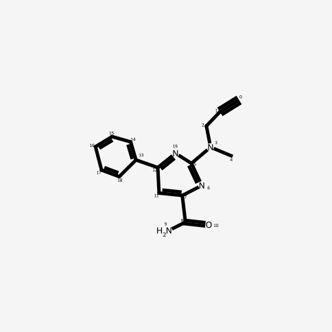 C#CCN(C)c1nc(C(N)=O)cc(-c2ccccc2)n1